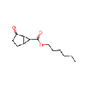 CCCCCCOC(=O)C1C2CCC(=O)C21